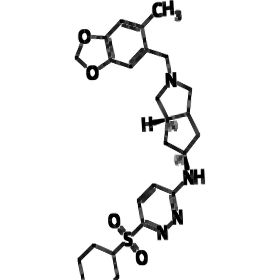 Cc1cc2c(cc1CN1CC3C[C@@H](Nc4ccc(S(=O)(=O)C5CCCCC5)nn4)C[C@@H]3C1)OCO2